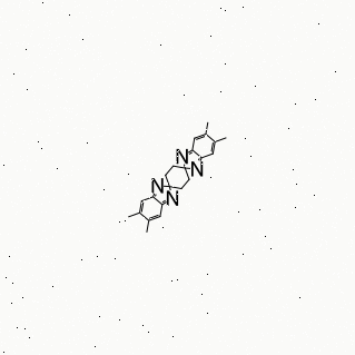 Cc1cc2c(cc1C)=NC1(CCC3(CC1)N=c1cc(C)c(C)cc1=N3)N=2